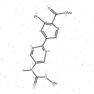 COC(=O)c1ncc(-c2ncc(N(C)C(=O)OC(C)(C)C)cn2)cc1C(C)C